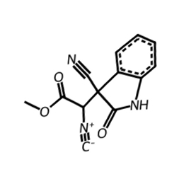 [C-]#[N+]C(C(=O)OC)C1(C#N)C(=O)Nc2ccccc21